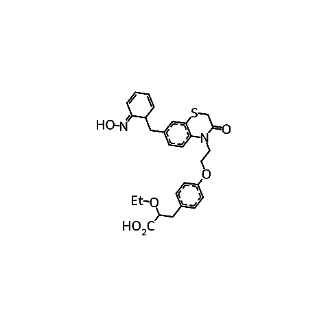 CCOC(Cc1ccc(OCCN2C(=O)CSc3cc(CC4C=CC=CC4=NO)ccc32)cc1)C(=O)O